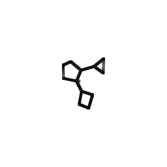 C1CC([C]2CCCC2C2CC2)C1